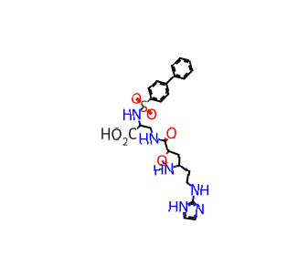 O=C(O)C(CNC(=O)C1CC(CCNc2ncc[nH]2)NO1)NS(=O)(=O)c1ccc(-c2ccccc2)cc1